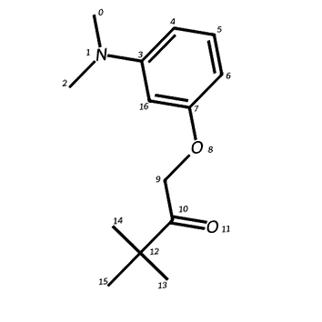 CN(C)c1cccc(OCC(=O)C(C)(C)C)c1